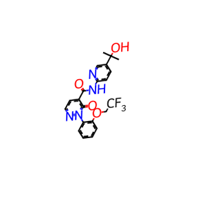 CC(C)(O)c1ccc(NC(=O)c2ccnn(-c3ccccc3OCC(F)(F)F)c2=O)nc1